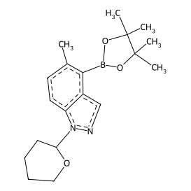 Cc1ccc2c(cnn2C2CCCCO2)c1B1OC(C)(C)C(C)(C)O1